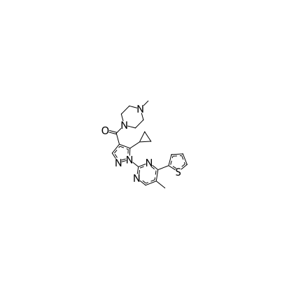 Cc1cnc(-n2ncc(C(=O)N3CCN(C)CC3)c2C2CC2)nc1-c1cccs1